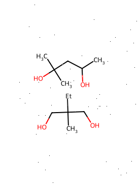 CC(O)CC(C)(C)O.CCC(C)(CO)CO